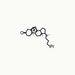 CC(C)CCC[C@@H](C)C1CCC2C34C=C[C@]5(CC(=O)CC[C@]5(C)C3CC[C@]12C)OO4